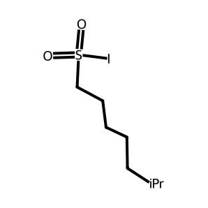 CC(C)CCCCCS(=O)(=O)I